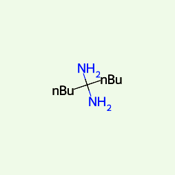 CCCCC(N)(N)CCCC